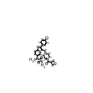 CN(c1ccc2nc(-c3ccc(Cl)cc3)c(CN3CCN(C(=O)C4COC4)CC3)n2c1)S(C)(=O)=O